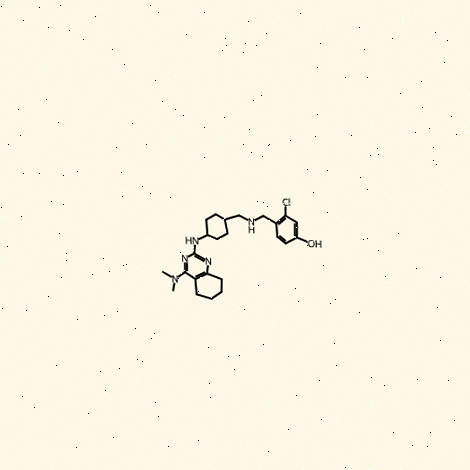 CN(C)c1nc(NC2CCC(CNCc3ccc(O)cc3Cl)CC2)nc2c1CCCC2